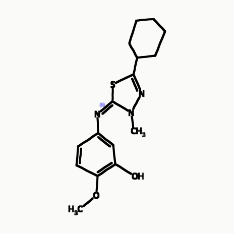 COc1ccc(/N=c2/sc(C3CCCCC3)nn2C)cc1O